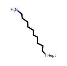 CCCCCCCCCCCCCCCCCN